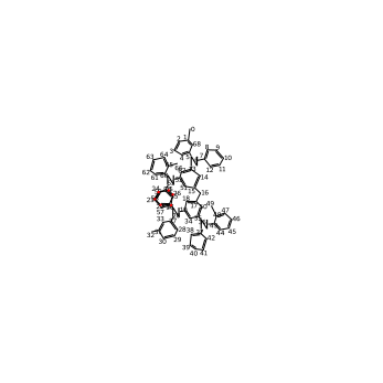 Cc1cccc(N(c2ccccc2)c2cc(Cc3cc(N(c4ccccc4)c4cccc(C)c4)cc(N(c4ccccc4)c4ccccc4C)c3)cc(N(c3ccccc3)c3ccccc3C)c2)c1